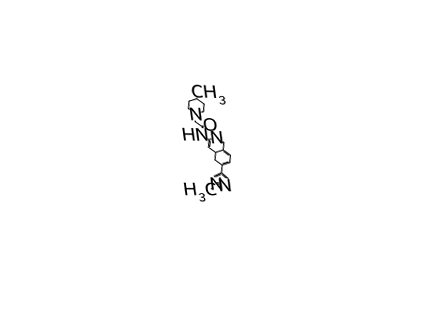 CC1CCN(CC(=O)NC2=CC3CC(c4cnn(C)c4)=CC=C3C=N2)CC1